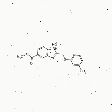 COC(=O)c1ccc2[nH]c(CSc3cc(C)ccn3)nc2c1.Cl